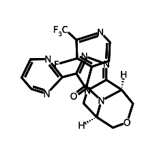 O=C(c1ccnc(C(F)(F)F)c1F)N1[C@H]2COC[C@@H]1c1nnc(-c3ncccn3)n1C2